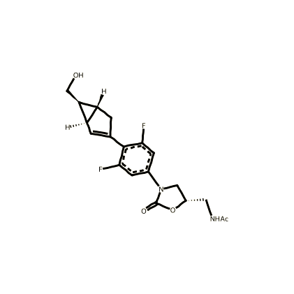 CC(=O)NC[C@H]1CN(c2cc(F)c(C3=C[C@H]4[C@@H](CO)[C@@H]4C3)c(F)c2)C(=O)O1